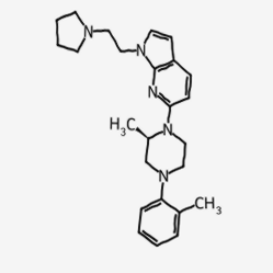 Cc1ccccc1N1CCN(c2ccc3ccn(CCN4CCCC4)c3n2)[C@H](C)C1